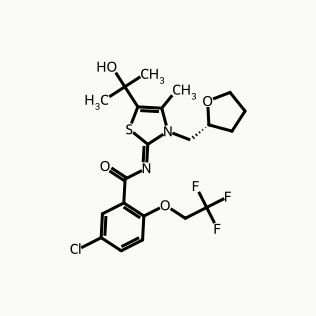 Cc1c(C(C)(C)O)sc(=NC(=O)c2cc(Cl)ccc2OCC(F)(F)F)n1C[C@H]1CCCO1